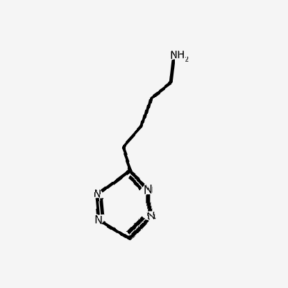 NCCCCc1nncnn1